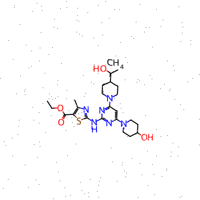 C.CCOC(=O)c1sc(Nc2nc(N3CCC(O)CC3)cc(N3CCC(C(C)O)CC3)n2)nc1C